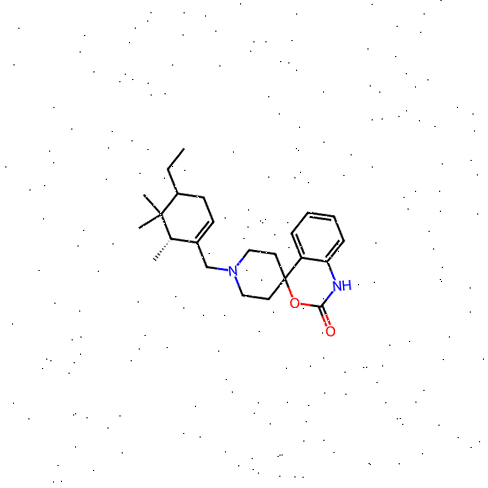 CCC1CC=C(CN2CCC3(CC2)OC(=O)Nc2ccccc23)[C@H](C)C1(C)C